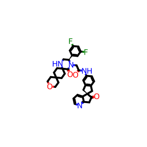 O=C(CN1C(=O)C2(CCC3(CCOCC3)CC2)NC[C@H]1c1cc(F)cc(F)c1)Nc1ccc2c(c1)C[C@@]1(C2)C(=O)Cc2ncccc21